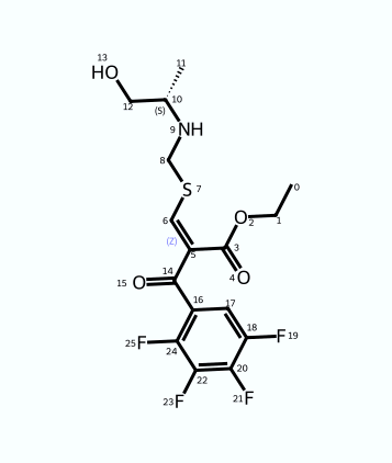 CCOC(=O)/C(=C\SCN[C@@H](C)CO)C(=O)c1cc(F)c(F)c(F)c1F